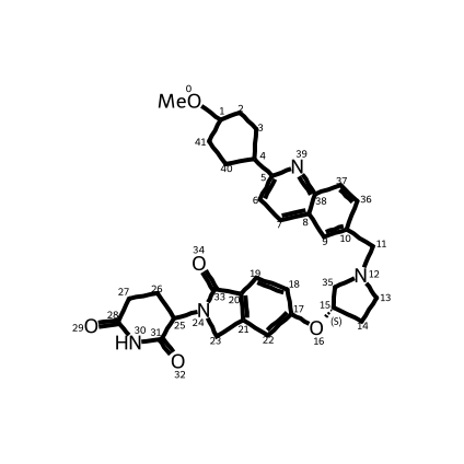 COC1CCC(c2ccc3cc(CN4CC[C@H](Oc5ccc6c(c5)CN(C5CCC(=O)NC5=O)C6=O)C4)ccc3n2)CC1